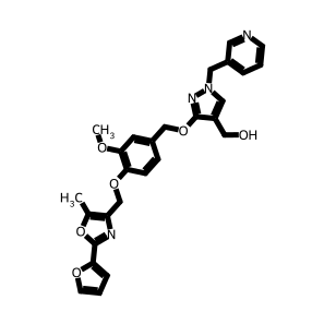 COc1cc(COc2nn(Cc3cccnc3)cc2CO)ccc1OCc1nc(-c2ccco2)oc1C